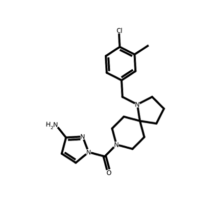 Cc1cc(CN2CCCC23CCN(C(=O)n2ccc(N)n2)CC3)ccc1Cl